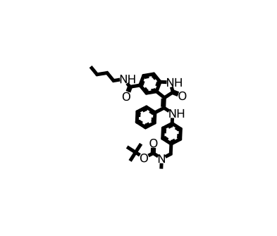 CCCCNC(=O)c1ccc2c(c1)/C(=C(/Nc1ccc(CN(C)C(=O)OC(C)(C)C)cc1)c1ccccc1)C(=O)N2